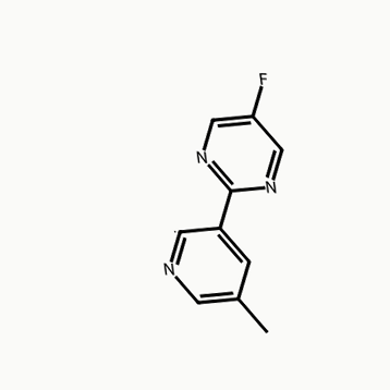 Cc1cn[c]c(-c2ncc(F)cn2)c1